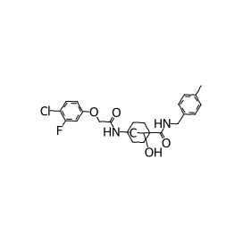 Cc1ccc(CNC(=O)C23CCC(NC(=O)COc4ccc(Cl)c(F)c4)(CC2)CC3O)cc1